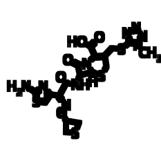 Cn1nnnc1SCC1=C(C(=O)O)N2C(=O)C(NC(=O)C(=NOC3CSC3)c3csc(N)n3)[C@@H]2SC1